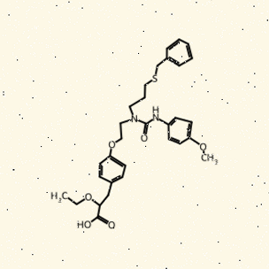 CCOC(Cc1ccc(OCCN(CCCSCc2ccccc2)C(=O)Nc2ccc(OC)cc2)cc1)C(=O)O